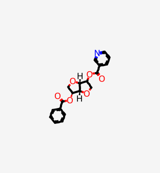 O=C(OC1CO[C@@H]2[C@@H](OC(=O)c3ccccc3)CO[C@H]12)c1cccnc1